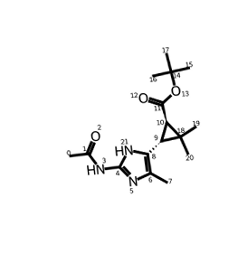 CC(=O)Nc1nc(C)c([C@@H]2[C@@H](C(=O)OC(C)(C)C)C2(C)C)[nH]1